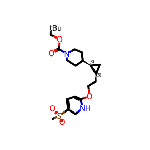 CC(C)(C)COC(=O)N1CCC([C@H]2C[C@H]2CCOC2=CC=C(S(C)(=O)=O)CN2)CC1